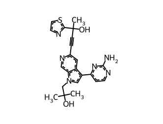 CC(C)(O)Cn1cc(-c2ccnc(N)n2)c2cc(C#CC(C)(O)c3nccs3)ncc21